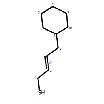 SC/C=C/CC1CCCCC1